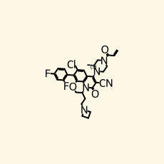 C=CC(=O)N1CCN(c2c(C#N)c(=O)n3c4c(c(-c5ccc(F)cc5F)c(Cl)cc24)OCC3CCN2CCC2)[C@@H](C)C1